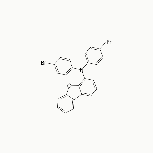 CC(C)c1ccc(N(c2ccc(Br)cc2)c2cccc3c2oc2ccccc23)cc1